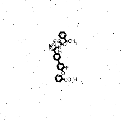 C[C@@H](OC(=O)Nc1c(-c2ccc(-c3ccc(Oc4ccccc4C(=O)O)c(F)c3)cc2)nnn1C)c1ccccc1